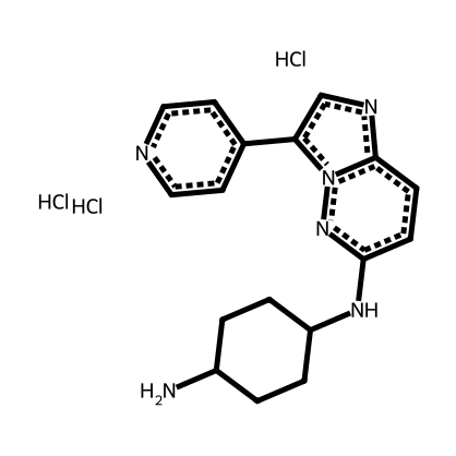 Cl.Cl.Cl.NC1CCC(Nc2ccc3ncc(-c4ccncc4)n3n2)CC1